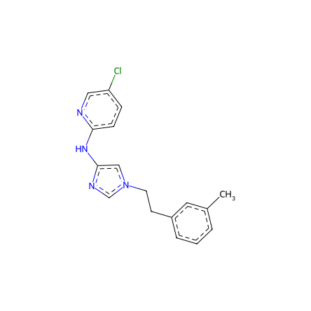 Cc1cccc(CCn2cnc(Nc3ccc(Cl)cn3)c2)c1